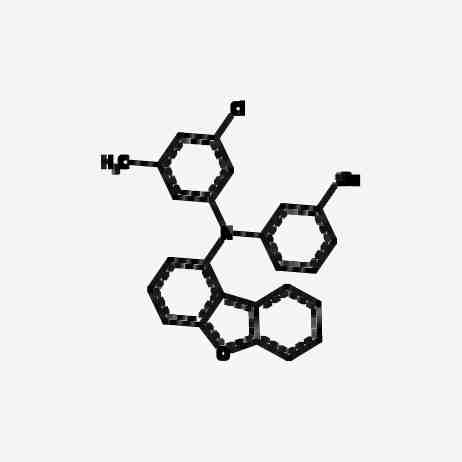 Cc1cc(Cl)cc(N(c2cccc(C(C)(C)C)c2)c2cccc3oc4ccccc4c23)c1